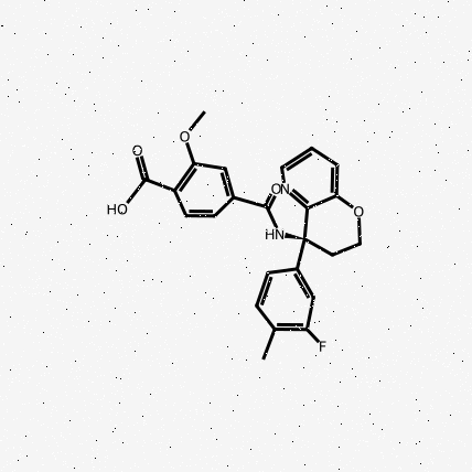 COc1cc(C(=O)N[C@]2(c3ccc(C)c(F)c3)CCOc3cccnc32)ccc1C(=O)O